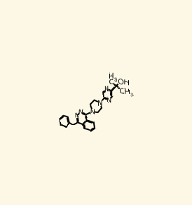 CC(C)(O)c1cnc(N2CCN(c3nnc(Cc4ccccc4)c4ccccc34)CC2)cn1